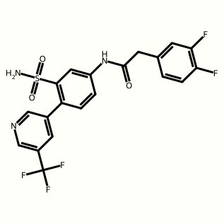 NS(=O)(=O)c1cc(NC(=O)Cc2ccc(F)c(F)c2)ccc1-c1cncc(C(F)(F)F)c1